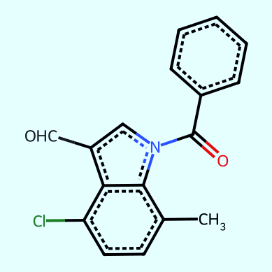 Cc1ccc(Cl)c2c(C=O)cn(C(=O)c3ccccc3)c12